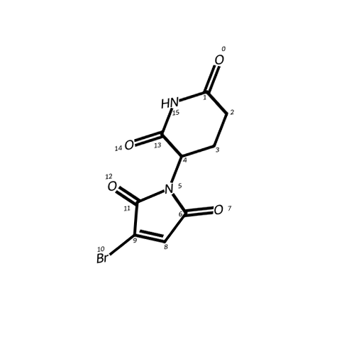 O=C1CCC(N2C(=O)C=C(Br)C2=O)C(=O)N1